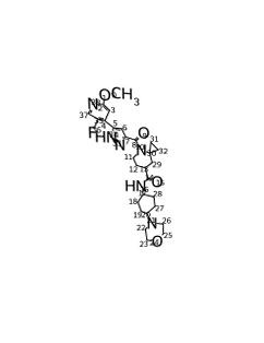 COc1cc(-c2cc(C(=O)N3CCC(C(=O)NC4CCC(N5CCOCC5)CC4)CC34CC4)n[nH]2)c(F)cn1